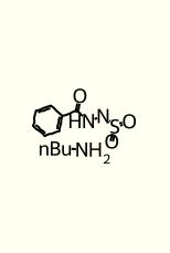 CCCCN.O=C(NN=S(=O)=O)c1ccccc1